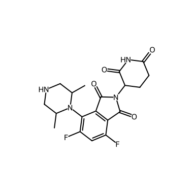 CC1CNCC(C)N1c1c(F)cc(F)c2c1C(=O)N(C1CCC(=O)NC1=O)C2=O